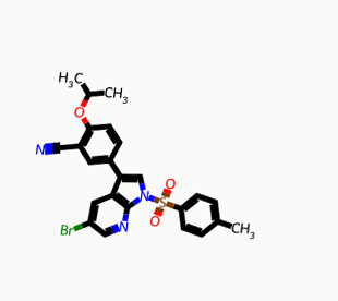 Cc1ccc(S(=O)(=O)n2cc(-c3ccc(OC(C)C)c(C#N)c3)c3cc(Br)cnc32)cc1